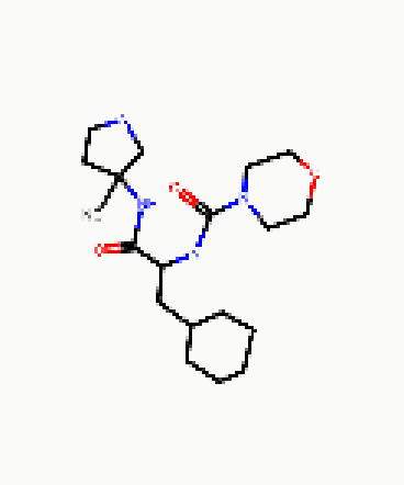 N#CC1(NC(=O)C(CC2CCCCC2)NC(=O)N2CCOCC2)CCNC1